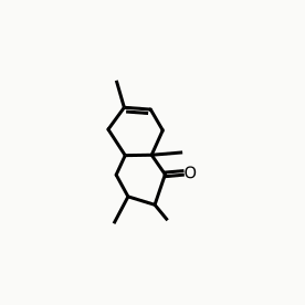 CC1=CCC2(C)C(=O)C(C)C(C)CC2C1